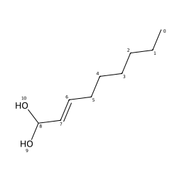 CCCCCCC=CC(O)O